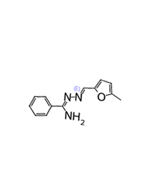 Cc1ccc(/C=N/N=C(N)c2ccccc2)o1